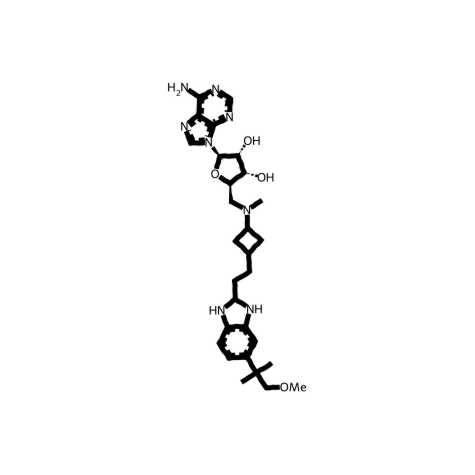 COCC(C)(C)c1ccc2c(c1)NC(CCC1CC(N(C)C[C@H]3O[C@@H](n4cnc5c(N)ncnc54)[C@H](O)[C@@H]3O)C1)N2